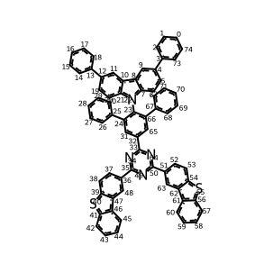 c1ccc(-c2ccc3c(c2)c2cc(-c4ccccc4)ccc2n3-c2c(-c3ccccc3)cc(-c3nc(-c4ccc5sc6ccccc6c5c4)nc(-c4ccc5sc6ccccc6c5c4)n3)cc2-c2ccccc2)cc1